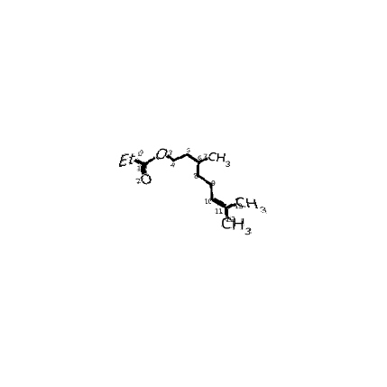 CCC(=O)OCCC(C)CCC=C(C)C